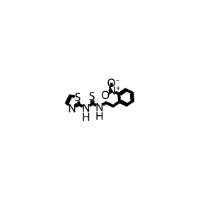 O=[N+]([O-])c1ccccc1CCNC(=S)Nc1nccs1